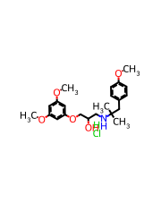 COc1ccc(CC(C)(C)NCC(O)COc2cc(OC)cc(OC)c2)cc1.Cl